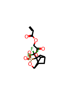 C=CC(=O)OCC(=O)OC1C2CC3C1OS(=O)(=O)C3(C(F)(F)F)C2